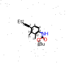 CCC#Cc1ccc(NC(=O)OC(C)(C)C)c(C)c1C